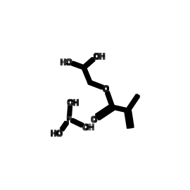 C=C(C)C(=O)OCC(O)O.OP(O)O